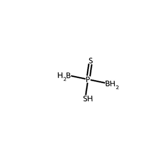 BP(B)(=S)S